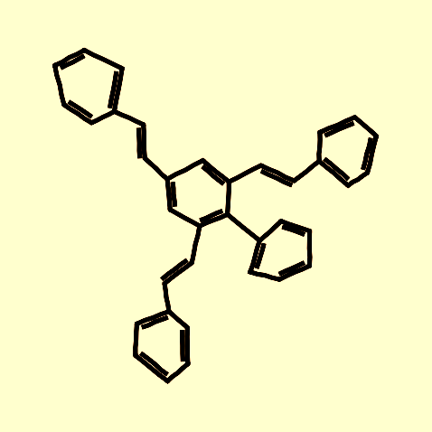 C(=Cc1cc(C=Cc2ccccc2)c(-c2ccccc2)c(C=Cc2ccccc2)c1)c1ccccc1